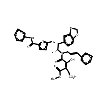 C[C@H]([C@H](Cc1ccc(C(=O)Nc2ccccc2)o1)c1ccc2c(c1)OCO2)N(C/C=C/c1ccccc1)C(=O)C(O)=C(CC(=O)O)C(=O)OC(C)(C)C